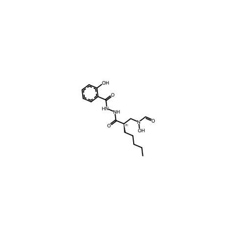 CCCCC[C@H](CN(O)C=O)C(=O)NNC(=O)c1ccccc1O